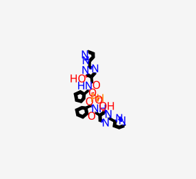 O=C(NC(O[PH](=O)OC(NC(=O)c1cnc(-c2cccnn2)nc1O)c1ccccc1)c1ccccc1)c1cnc(-c2cccnn2)nc1O